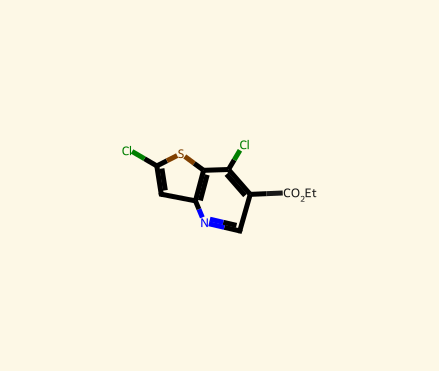 CCOC(=O)c1cnc2cc(Cl)sc2c1Cl